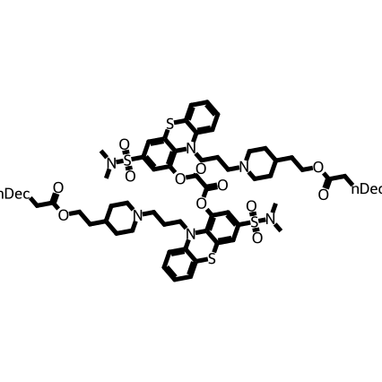 CCCCCCCCCCCC(=O)OCCC1CCN(CCCN2c3ccccc3Sc3cc(S(=O)(=O)N(C)C)cc(OC(=O)C(=O)Oc4cc(S(=O)(=O)N(C)C)cc5c4N(CCCN4CCC(CCOC(=O)CCCCCCCCCCC)CC4)c4ccccc4S5)c32)CC1